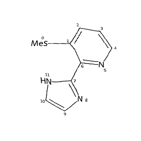 CSc1cccnc1-c1ncc[nH]1